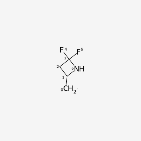 [CH2]C1CC(F)(F)N1